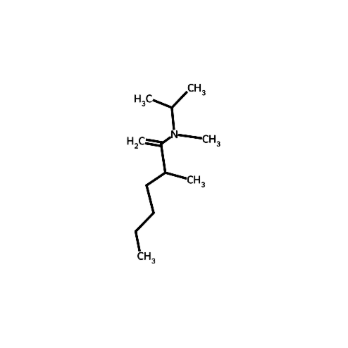 C=C(C(C)CCCC)N(C)C(C)C